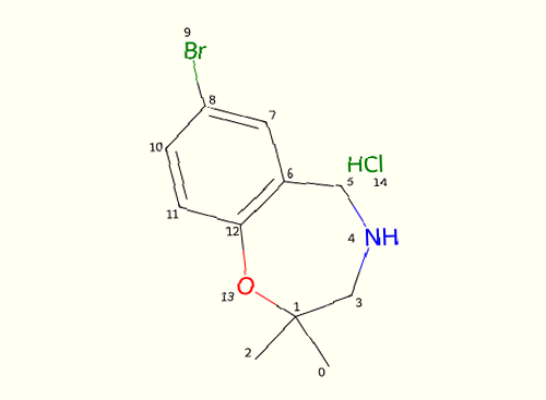 CC1(C)CNCc2cc(Br)ccc2O1.Cl